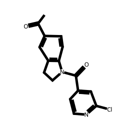 CC(=O)c1ccc2c(c1)CCN2C(=O)c1ccnc(Cl)c1